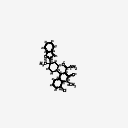 Cn1c(=O)c(C(N)=O)c(N2CCC(C)(c3nc4ccccc4o3)CC2)c2cccc(Cl)c21